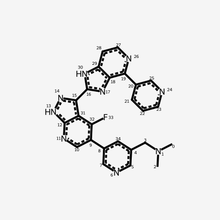 CN(C)Cc1cncc(-c2cnc3[nH]nc(-c4nc5c(-c6cccnc6)nccc5[nH]4)c3c2F)c1